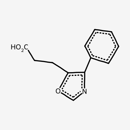 O=C(O)CCc1ocnc1-c1ccccc1